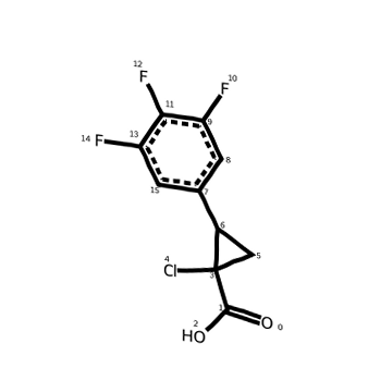 O=C(O)C1(Cl)CC1c1cc(F)c(F)c(F)c1